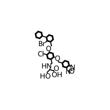 O=C(O)C(CO)NCc1cc(Cl)c(OCc2cccc(-c3ccccc3)c2Br)cc1OCc1ccc2nonc2c1